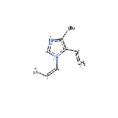 C=Cc1c(C(C)(C)C)ncn1/C=C\CC